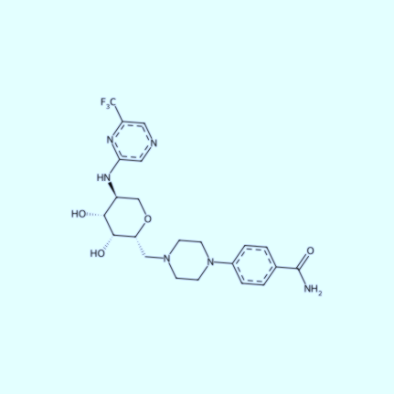 NC(=O)c1ccc(N2CCN(C[C@H]3OC[C@H](Nc4cncc(C(F)(F)F)n4)[C@@H](O)[C@H]3O)CC2)cc1